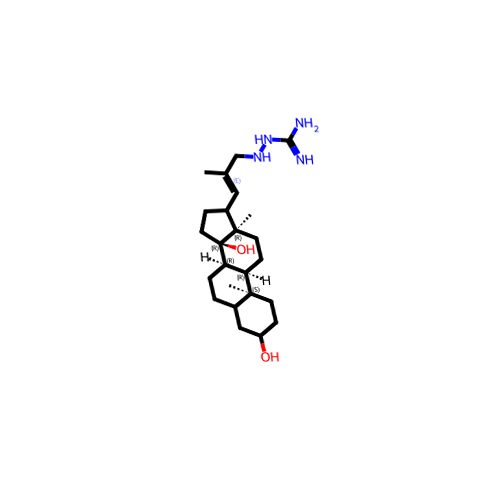 C/C(=C\C1CC[C@@]2(O)[C@@H]3CCC4CC(O)CC[C@]4(C)[C@@H]3CC[C@]12C)CNNC(=N)N